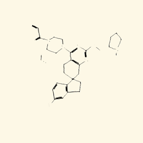 C=CC(=O)N1CCN(c2nc(OC[C@@H]3CCCN3C)nc3c2CCC2(CCc4cc(F)ccc42)C3)C[C@@H]1CC#N